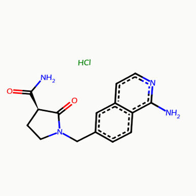 Cl.NC(=O)[C@@H]1CCN(Cc2ccc3c(N)nccc3c2)C1=O